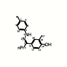 CCCC(=NNc1ccc(C)cc1)c1ccc(O)c(C)c1